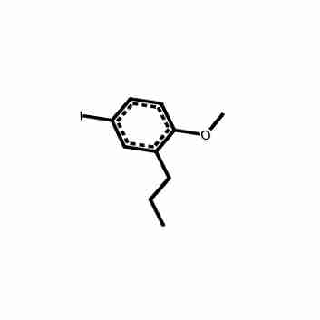 CCCc1cc(I)ccc1OC